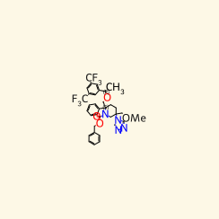 COCC1(n2cnnc2)CC[C@@](CO[C@H](C)c2cc(C(F)(F)F)cc(C(F)(F)F)c2)(c2ccccc2)N(C(=O)OCc2ccccc2)C1